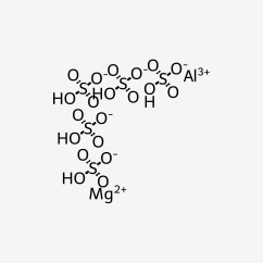 O=S(=O)([O-])O.O=S(=O)([O-])O.O=S(=O)([O-])O.O=S(=O)([O-])O.O=S(=O)([O-])O.[Al+3].[Mg+2]